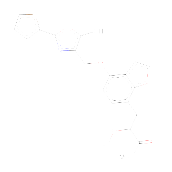 CCOC(Cc1ccc(OCc2nc(-c3cccs3)oc2C)c2ccoc12)C(=O)OC